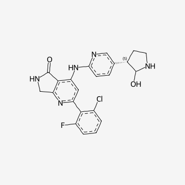 O=C1NCc2nc(-c3c(F)cccc3Cl)cc(Nc3ccc([C@@H]4CCNC4O)cn3)c21